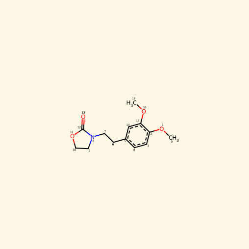 COc1ccc(CCN2CCOC2=O)cc1OC